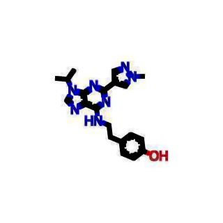 CC(C)n1cnc2c(NCCc3ccc(O)cc3)nc(-c3cnn(C)c3)nc21